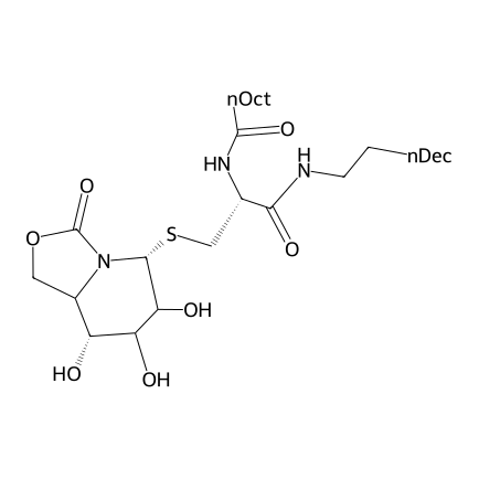 CCCCCCCCCCCCNC(=O)[C@H](CS[C@@H]1C(O)C(O)[C@H](O)C2COC(=O)N21)NC(=O)CCCCCCCC